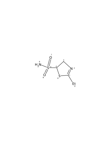 CCC1=NCC(S(N)(=O)=O)S1